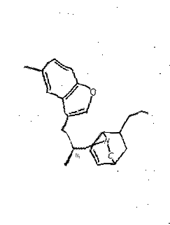 CCC1CC2C=CC1N([C@@H](C)Cc1coc3ccc(C)cc13)C2